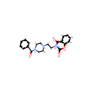 O=C(c1ccccc1)N1CCN(CCn2c(=O)oc3ccccc3c2=O)CC1